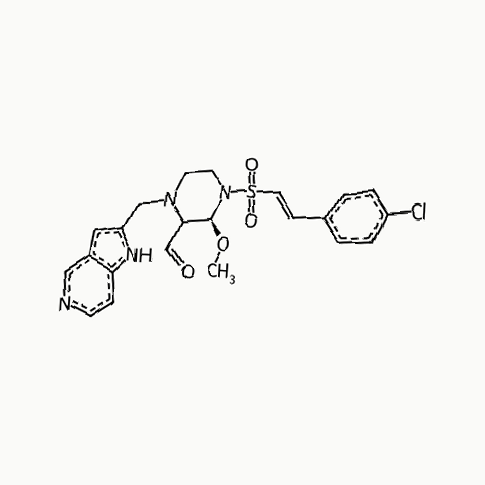 CO[C@H]1C(C=O)N(Cc2cc3cnccc3[nH]2)CCN1S(=O)(=O)C=Cc1ccc(Cl)cc1